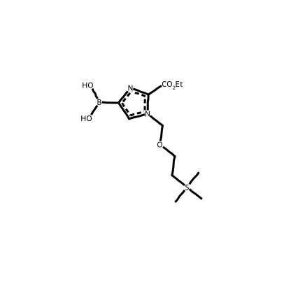 CCOC(=O)c1nc(B(O)O)cn1COCCS(C)(C)C